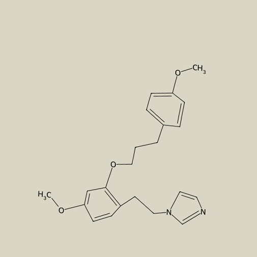 COc1ccc(CCCOc2cc(OC)ccc2CCn2ccnc2)cc1